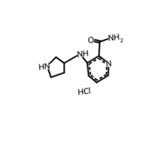 Cl.NC(=O)c1ncccc1NC1CCNC1